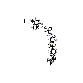 Nc1ccc(CCCOC(=O)/C=C/c2ccc(OC(=O)c3ccc(OC(F)(F)C(F)F)cc3)cc2)c(N)c1